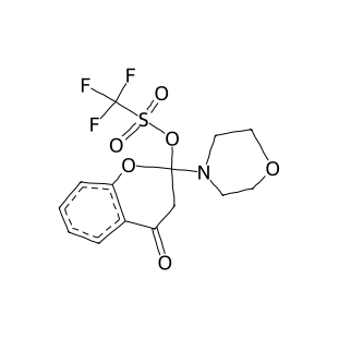 O=C1CC(OS(=O)(=O)C(F)(F)F)(N2CCOCC2)Oc2ccccc21